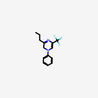 CCCC1=NC(C(F)(F)F)=CN(c2ccccc2)C1